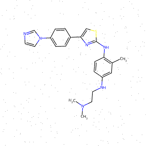 Cc1cc(NCCN(C)C)ccc1Nc1nc(-c2ccc(-n3ccnc3)cc2)cs1